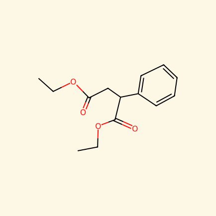 CCOC(=O)CC(C(=O)OCC)c1ccccc1